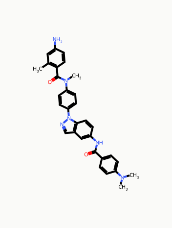 Cc1cc(N)ccc1C(=O)N(C)c1ccc(-n2ncc3cc(NC(=O)c4ccc(N(C)C)cc4)ccc32)cc1